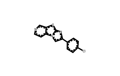 Clc1ccc(-c2cn3c(n2)sc2cnccc23)cc1